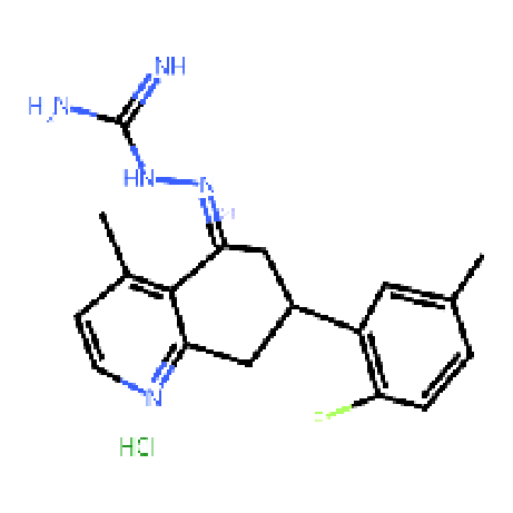 Cc1ccc(F)c(C2C/C(=N/NC(=N)N)c3c(C)ccnc3C2)c1.Cl